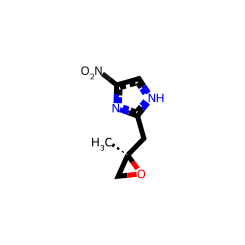 C[C@@]1(Cc2nc([N+](=O)[O-])c[nH]2)CO1